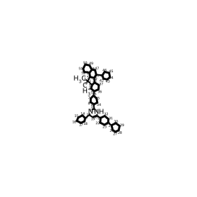 CC1(C)c2cc(-c3ccc(C4N=C(c5ccccc5)C=C(c5ccc(-c6ccccc6)cc5)N4)cc3)ccc2-c2c(-c3ccccc3)cc3ccccc3c21